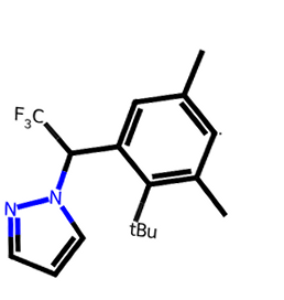 Cc1[c]c(C)c(C(C)(C)C)c(C(n2cccn2)C(F)(F)F)c1